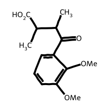 COc1cccc(C(=O)C(C)C(C)C(=O)O)c1OC